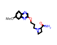 COc1ccc2ncc(OCCCN3C[CH]C3C(N)=O)nc2c1